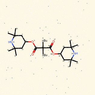 CCCCC(CCCC)(C(=O)OC1CC(C)(C)NC(C)(C)C1)C(=O)OC1CC(C)(C)NC(C)(C)C1